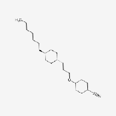 CCCCCCC[C@H]1CC[C@H](CCCOC2CCC(C#N)CC2)CC1